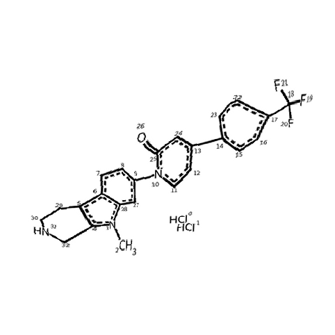 Cl.Cl.Cn1c2c(c3ccc(-n4ccc(-c5ccc(C(F)(F)F)cc5)cc4=O)cc31)CCNC2